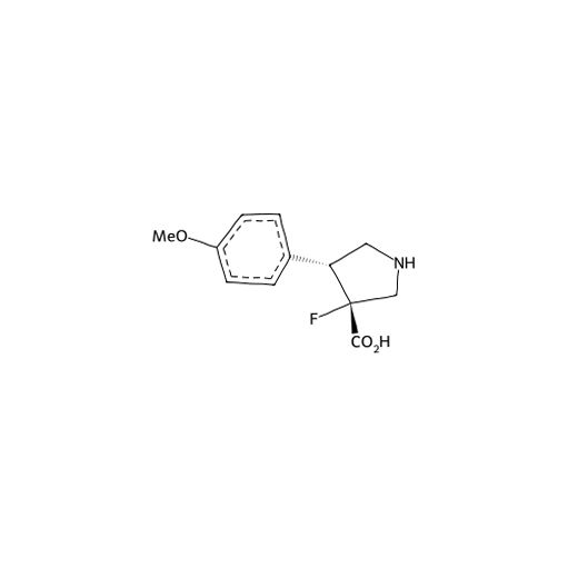 COc1ccc([C@@H]2CNC[C@@]2(F)C(=O)O)cc1